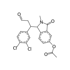 CC(=O)Oc1ccc2c(c1)C(=O)N(C)C2C(CC=O)c1ccc(Cl)c(Cl)c1